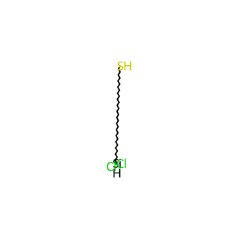 SCCCCCCCCCCCCCCCCCCCCCCCCCCCCCCC[SiH](Cl)Cl